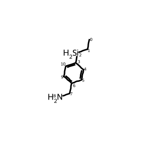 CC[SiH2]c1ccc(CN)cc1